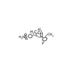 CCc1ccc(F)cc1NCC1C(c2ccc(S(N)(=O)=O)cc2)C1(C)C